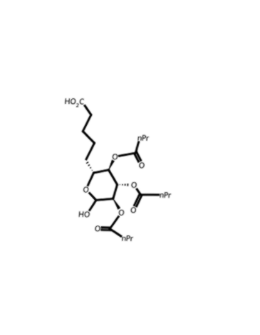 CCCC(=O)O[C@H]1[C@H](OC(=O)CCC)[C@@H](OC(=O)CCC)C(O)O[C@@H]1CCCCC(=O)O